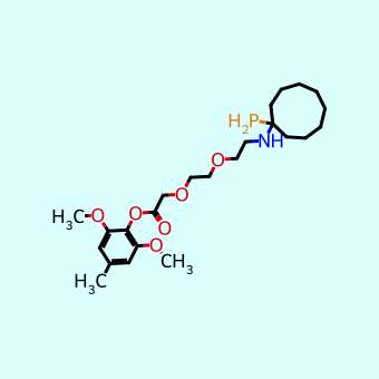 COc1cc(C)cc(OC)c1OC(=O)COCCOCCNC1(P)CCCCCCCC1